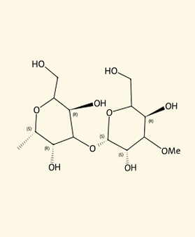 COC1[C@H](O)C(CO)O[C@@H](OC2[C@H](O)C(CO)O[C@@H](C)[C@H]2O)[C@H]1O